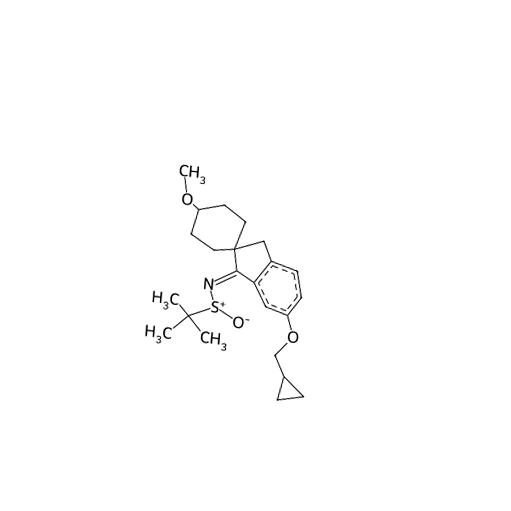 COC1CCC2(CC1)Cc1ccc(OCC3CC3)cc1/C2=N\[S+]([O-])C(C)(C)C